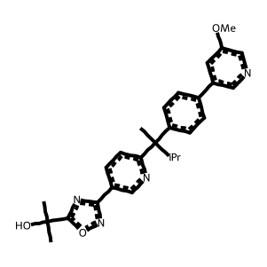 COc1cncc(-c2ccc(C(C)(c3ccc(-c4noc(C(C)(C)O)n4)cn3)C(C)C)cc2)c1